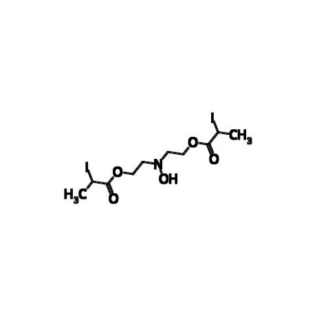 CC(I)C(=O)OCCN(O)CCOC(=O)C(C)I